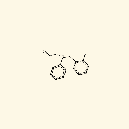 Cc1ccccc1O[C@@H](CCCl)c1ccccc1